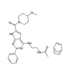 C1=CC2=CC=C1C2.COC1CCN(C(=O)c2cc3c(NCCNC(C)=O)nc(-c4ccccc4)nc3[nH]2)CC1